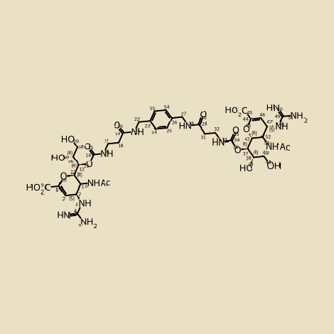 CC(=O)NC1[C@@H](NC(=N)N)C=C(C(=O)O)O[C@H]1[C@H](OC(=O)NCCC(=O)NCc1ccc(CNC(=O)CCNC(=O)O[C@H]([C@H](O)CO)[C@@H]2OC(C(=O)O)=C[C@H](NC(=N)N)C2NC(C)=O)cc1)[C@H](O)CO